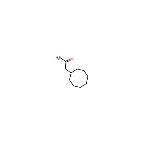 NC(=O)CC1CCCCCCC1